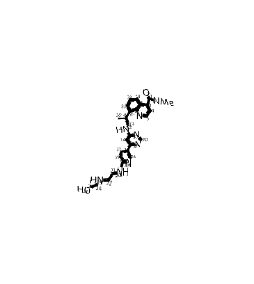 CNC(=O)c1ccnc2c([C@H](C)CNc3cc(-c4ccc(NCCNCCO)nc4)ncn3)cccc12